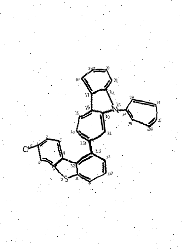 Clc1ccc2c(c1)sc1cccc(-c3ccc4c5ccccc5n(-c5ccccc5)c4c3)c12